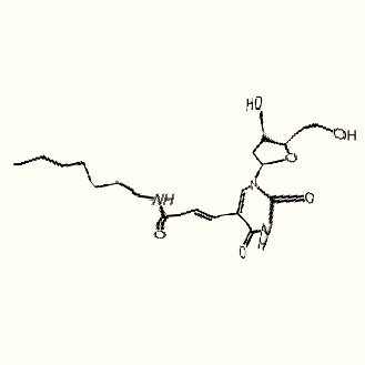 CCCCCCCNC(=O)/C=C/c1cn([C@H]2C[C@@H](O)[C@@H](CO)O2)c(=O)[nH]c1=O